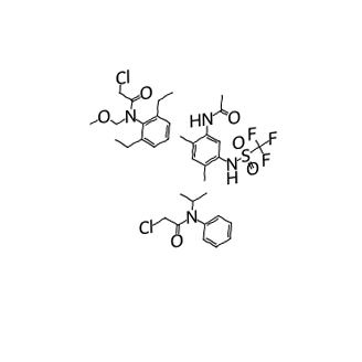 CC(=O)Nc1cc(NS(=O)(=O)C(F)(F)F)c(C)cc1C.CC(C)N(C(=O)CCl)c1ccccc1.CCc1cccc(CC)c1N(COC)C(=O)CCl